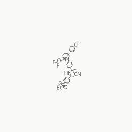 CCS(=O)(=O)c1ccc(C(CC#N)NC(=O)c2ccc(N3C[C@@H](c4ccc(Cl)cc4)CC[C@H]3COC(F)F)cc2)cc1